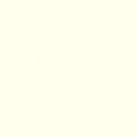 CCc1ccc([C@H](Nc2c(Nc3ccc(Cl)c4c3C(O)N(c3cc(C)ccc3C(=O)O)C4)c(=O)c2=O)C(C)(C)C)o1